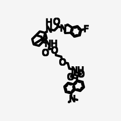 CN(C)c1cccc2c(S(=O)(=O)NCCOCCOC(=O)NC34CC5CC(CC(NCC(=O)N6Cc7ccc(F)cc7C6)(C5)C3)C4)cccc12